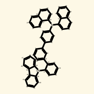 c1cc(-c2ccc(N(c3cccc4ccccc34)c3cccc4ccccc34)cc2)cc(-c2ccccc2-n2c3ccccc3c3ccccc32)c1